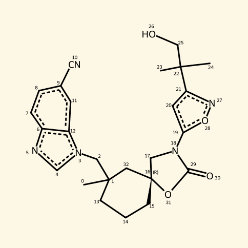 CC1(Cn2cnc3ccc(C#N)cc32)CCC[C@]2(CN(c3cc(C(C)(C)CO)no3)C(=O)O2)C1